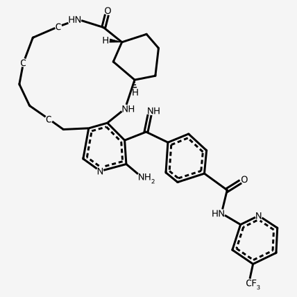 N=C(c1ccc(C(=O)Nc2cc(C(F)(F)F)ccn2)cc1)c1c(N)ncc2c1N[C@@H]1CCC[C@H](C1)C(=O)NCCCCCCC2